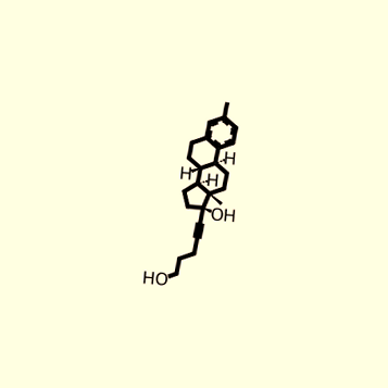 Cc1ccc2c(c1)CC[C@@H]1[C@@H]2CC[C@@]2(C)[C@H]1CC[C@@]2(O)C#CCCCO